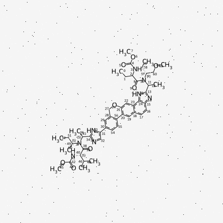 CCC(NC(=O)OC)C(=O)N(C(C)c1nc2ccc3cc4c(cc3c2[nH]1)OCc1cc(-c2cnc([C@H](C)N(C(=O)[C@@H](NC(=O)OC)C(C)C)[C@@H](C)CC)[nH]2)ccc1-4)[C@H](CC)COC